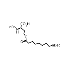 CCCCCCCCCCCCCCCCCC(=O)OCCC(NCCC)C(=O)O